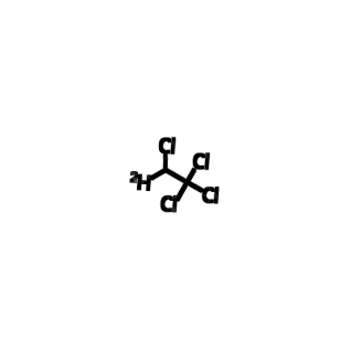 [2H]C(Cl)C(Cl)(Cl)Cl